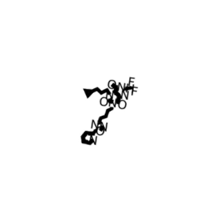 O=c1[nH]c(C(F)F)nc2c(=O)n(CCCCc3noc(-c4ccccn4)n3)c(=O)n(CCCC3CC3)c12